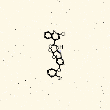 O=C(O)/C(=C\c1ccc(Oc2ccccc2Br)cc1)NC(=O)c1cc(Cl)nc2ccccc12